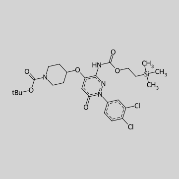 CC(C)(C)OC(=O)N1CCC(Oc2cc(=O)n(-c3ccc(Cl)c(Cl)c3)nc2NC(=O)OCC[Si](C)(C)C)CC1